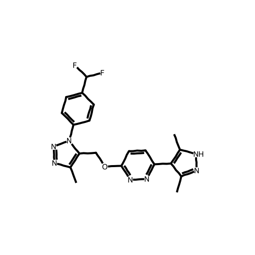 Cc1n[nH]c(C)c1-c1ccc(OCc2c(C)nnn2-c2ccc(C(F)F)cc2)nn1